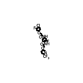 O=C(COc1ccc(Cl)c(F)c1)NC12CCC(NC(=O)COc3ccc(C(F)(F)F)nc3)(CC1)C(F)C2